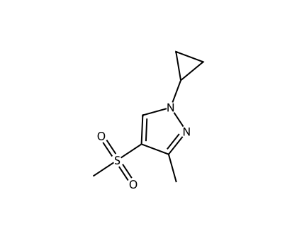 Cc1nn(C2CC2)cc1S(C)(=O)=O